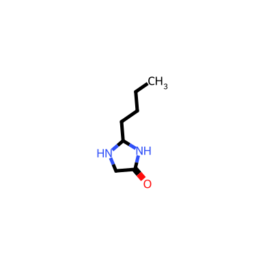 CCCCC1NCC(=O)N1